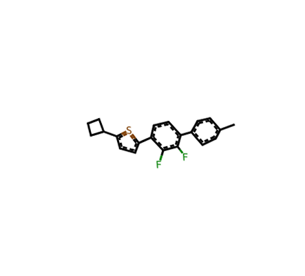 Cc1ccc(-c2ccc(-c3ccc(C4CCC4)s3)c(F)c2F)cc1